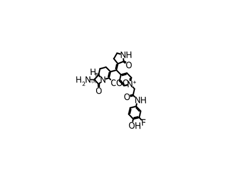 N[C@@H]1C(=O)N2C(C(=O)[O-])=C(C(=C3CCNC3=O)c3cc[n+](CC(=O)Nc4ccc(O)c(F)c4)cc3)CC[C@H]12